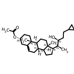 CC(=O)O[C@@H]1CC[C@@]2(C)C(=CC[C@H]3[C@@H]4CC[C@H]([C@H](C)[C@@H](O)CCC5CC5)[C@@]4(C)CC[C@@H]32)C1